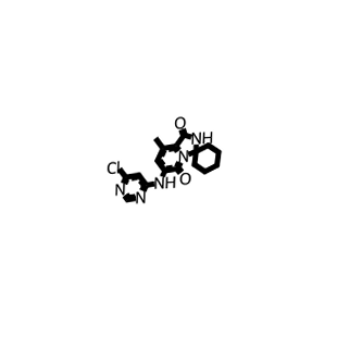 Cc1cc(Nc2cc(Cl)ncn2)c(=O)n2c1C(=O)NC21CCCCC1